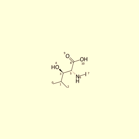 CC(C)[C@@H](O)[C@@H](NI)C(=O)O